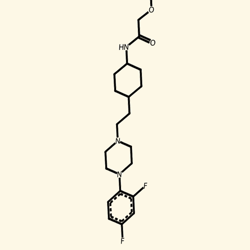 COCC(=O)NC1CCC(CCN2CCN(c3ccc(F)cc3F)CC2)CC1